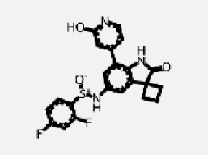 O=C1Nc2c(-c3ccnc(O)c3)cc(N[S+]([O-])c3ccc(F)cc3F)cc2C12CCC2